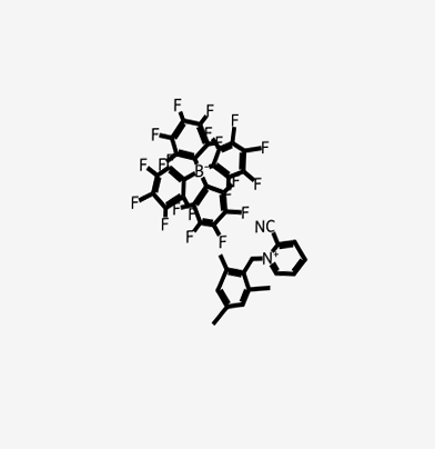 Cc1cc(C)c(C[n+]2ccccc2C#N)c(C)c1.Fc1c(F)c(F)c([B-](c2c(F)c(F)c(F)c(F)c2F)(c2c(F)c(F)c(F)c(F)c2F)c2c(F)c(F)c(F)c(F)c2F)c(F)c1F